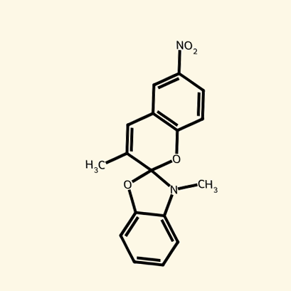 CC1=Cc2cc([N+](=O)[O-])ccc2OC12Oc1ccccc1N2C